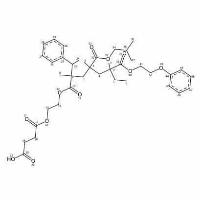 CCC(C)(CC(C)(CC(C)(C(=O)OCCOC(=O)CCC(=O)O)C(C)c1ccccc1)C(=O)OCC(C)C)C(=O)OCCOc1ccccc1